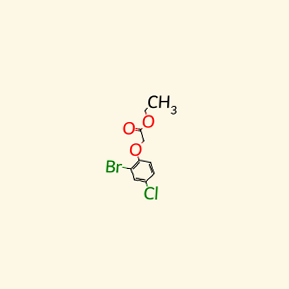 CCOC(=O)COc1ccc(Cl)cc1Br